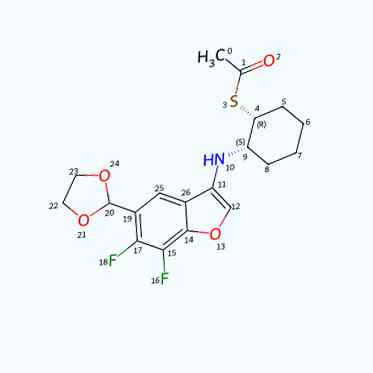 CC(=O)S[C@@H]1CCCC[C@@H]1Nc1coc2c(F)c(F)c(C3OCCO3)cc12